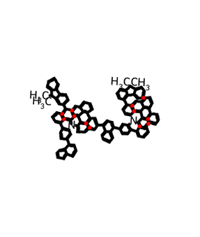 CC1(C)c2ccccc2-c2ccc(-c3ccc(N(c4cc(-c5cccc6ccccc56)ccc4-c4ccccc4)c4ccccc4-c4cccc5cccc(-c6cccc(-c7ccc(-c8ccc(-c9ccccc9)c(N(c9ccc(-c%10cccc%11c%10-c%10ccccc%10C%11(C)C)cc9)c9ccccc9-c9cccc%10cccc(-c%11ccccc%11)c9%10)c8)c8ccccc78)c6)c45)cc3)cc21